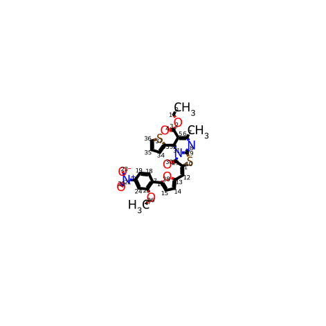 CCOC(=O)C1=C(C)N=c2s/c(=C/c3ccc(-c4ccc([N+](=O)[O-])cc4OC)o3)c(=O)n2C1c1cccs1